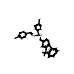 Cc1ccc(/C=N/C(=N\Cc2ccc3c(c2)C(C)(C)c2ccccc2-3)c2ccc(C)cc2)cc1